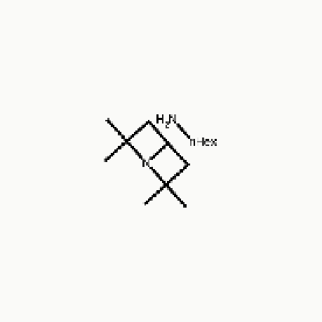 CC1(C)CC2CC(C)(C)N21.CCCCCCN